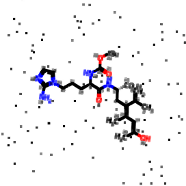 C=C(C)/C(C[C@H](NC(=O)[C@@H](CCCn1ccnc1N)NC(=O)OC(C)(C)C)C(=O)O)=C(C)\C=C(/C)O